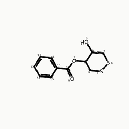 O=C(OC1CSSCC1O)c1ccccc1